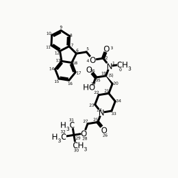 CN(C(=O)OCC1c2ccccc2-c2ccccc21)[C@@H](CC1CCN(C(=O)COC(C)(C)C)CC1)C(=O)O